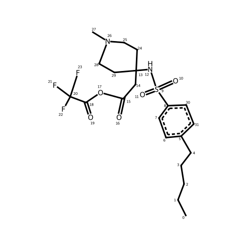 CCCCCc1ccc(S(=O)(=O)NC2(CC(=O)OC(=O)C(F)(F)F)CCN(C)CC2)cc1